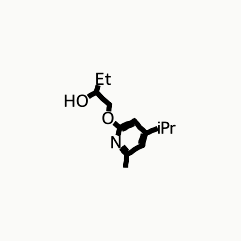 CCC(O)COc1cc(C(C)C)cc(C)n1